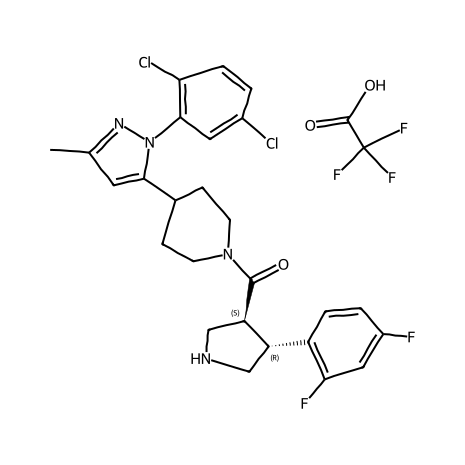 Cc1cc(C2CCN(C(=O)[C@@H]3CNC[C@H]3c3ccc(F)cc3F)CC2)n(-c2cc(Cl)ccc2Cl)n1.O=C(O)C(F)(F)F